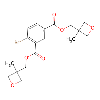 CC1(COC(=O)c2ccc(Br)c(C(=O)OCC3(C)COC3)c2)COC1